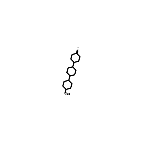 CCCCC1CCC(C2CCC(C3CCC(=O)CC3)CC2)CC1